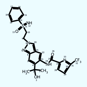 CC(C)(O)c1cc2nn(CCS(=N)(=O)c3ccccc3)cc2cc1NC(=O)c1cccc(C(F)(F)F)n1